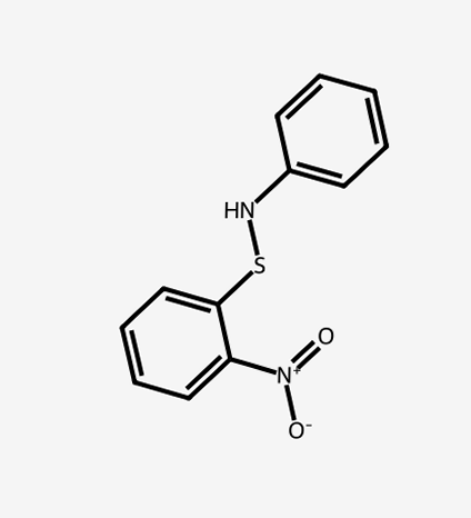 O=[N+]([O-])c1ccccc1SNc1ccccc1